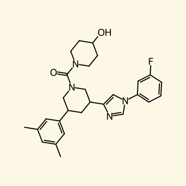 Cc1cc(C)cc(C2CC(c3cn(-c4cccc(F)c4)cn3)CN(C(=O)N3CCC(O)CC3)C2)c1